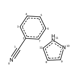 N#Cc1ccccc1.c1cn[nH]c1